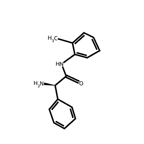 Cc1ccccc1NC(=O)[C@H](N)c1ccccc1